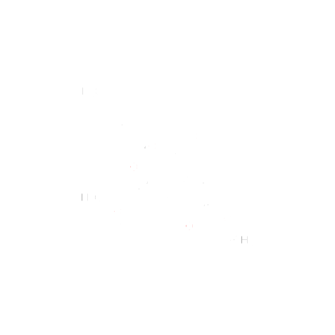 CCCCOC(=O)C(CC(=O)OC)CC(=O)OC